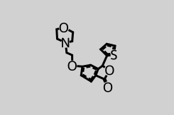 O=C1OC(c2cccs2)c2cc(OCCN3CCOCC3)ccc21